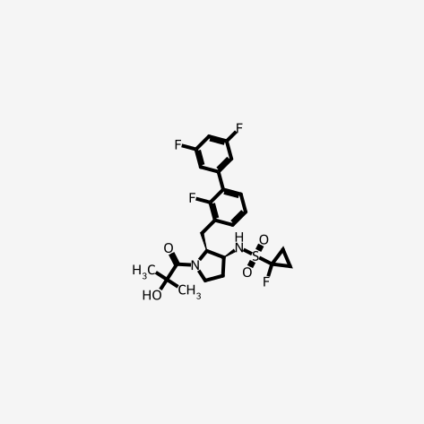 CC(C)(O)C(=O)N1CC[C@H](NS(=O)(=O)C2(F)CC2)[C@@H]1Cc1cccc(-c2cc(F)cc(F)c2)c1F